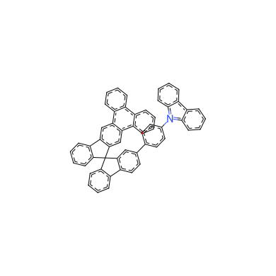 c1ccc2c(c1)-c1ccc(-c3ccc(-n4c5ccccc5c5ccccc54)cc3)cc1C21c2ccccc2-c2cc3c4ccccc4c4ccccc4c3cc21